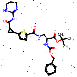 CC(C)(C)OC(=O)[C@H](CNC(=O)c1ccc(C2CC2C(=O)NC2=NCCCN2)s1)NC(=O)OCc1ccccc1